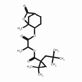 CC(OC(=O)C1(CC(C)(C)C)CC1(C)C)C(=O)OC1CCC2CC1(C)OC2=O